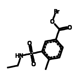 CCNS(=O)(=O)c1cc(C(=O)OBr)ccc1C